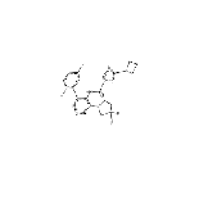 O=C(Nc1c(-c2cc(F)ccc2F)ncnc1N1CCC(F)(F)C1)c1cnn(C2CCC2)c1